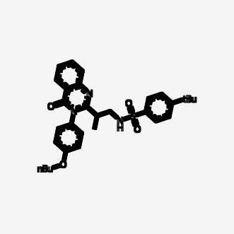 CCCCOc1ccc(-n2c(C(C)CNS(=O)(=O)c3ccc(C(C)(C)C)cc3)nc3ccccc3c2=O)cc1